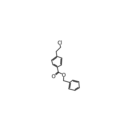 O=C(OCc1ccccc1)c1ccc(CCCl)cc1